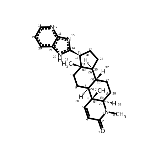 CN1C(=O)C=C[C@]2(C)[C@H]3CC[C@]4(C)[C@@H](c5nc6ncccc6[nH]5)CC[C@H]4[C@@H]3CC[C@@H]12